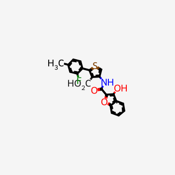 Cc1ccc(-c2scc(NC(=O)c3oc4ccccc4c3O)c2C(=O)O)c(F)c1